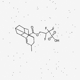 CC1C=C2C3CC4CC(C3)C(C1)C2(C(=O)OCC(F)C(F)(F)S(=O)(=O)O)C4